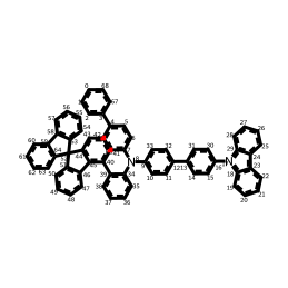 c1ccc(-c2ccc(N(c3ccc(-c4ccc(-n5c6ccccc6c6ccccc65)cc4)cc3)c3ccccc3-c3cccc4c3-c3ccccc3C43c4ccccc4-c4ccccc43)cc2)cc1